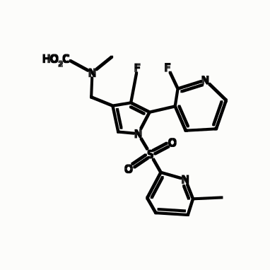 Cc1cccc(S(=O)(=O)n2cc(CN(C)C(=O)O)c(F)c2-c2cccnc2F)n1